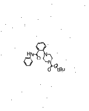 CC(C)(C)OC(=O)N1CCN(c2ccccc2C(=O)Nc2ccccc2)CC1